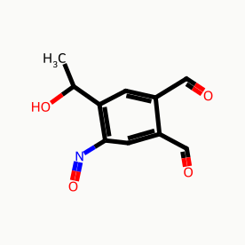 CC(O)c1cc(C=O)c(C=O)cc1N=O